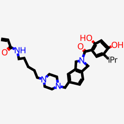 C=CC(=O)NCCCCCN1CCN(Cc2ccc3c(c2)CN(C(=O)c2cc(C(C)C)c(O)cc2O)C3)CC1